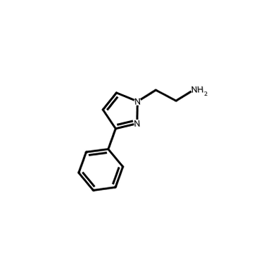 NCCn1ccc(-c2ccccc2)n1